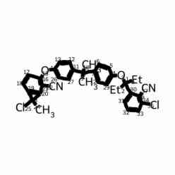 CCC(CC)(Oc1ccc(C(C)(C)c2ccc(Oc3ccc4c(c3C#N)C4(C)Cl)cc2)cc1)c1cccc(Cl)c1C#N